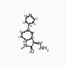 CN1C(=O)/C(=N\N)c2cc(-c3ccncc3)ccc21